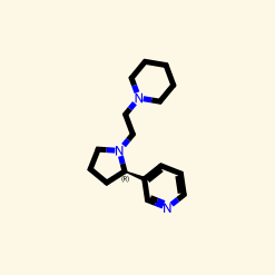 c1cncc([C@H]2CCCN2CCN2CCCCC2)c1